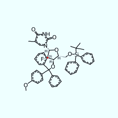 COc1ccc(C(O[C@H]2[C@H](F)[C@H](n3cc(C)c(=O)[nH]c3=O)O[C@@H]2CO[Si](c2ccccc2)(c2ccccc2)C(C)(C)C)(c2ccccc2)c2ccccc2)cc1